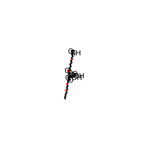 CCCCCCCCCCCCC(=O)O[C@H](COC(=O)CCCCCCCCCCNC(C)=O)COP(=O)(O)O